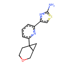 Nc1nc(-c2cccc(C34CCOCC3C4)n2)cs1